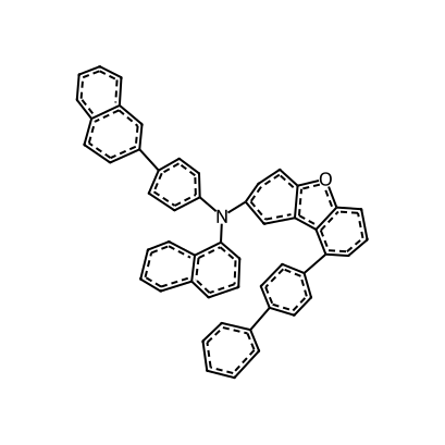 c1ccc(-c2ccc(-c3cccc4oc5ccc(N(c6ccc(-c7ccc8ccccc8c7)cc6)c6cccc7ccccc67)cc5c34)cc2)cc1